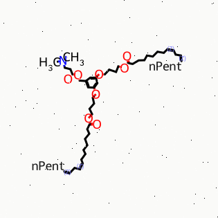 CCCCC/C=C\C/C=C\CCCCCCCC(=O)OCCCCOc1cc(COC(=O)CCN(C)C)cc(OCCCCOC(=O)CCCCCCC/C=C\C/C=C\CCCCC)c1